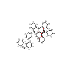 c1ccc(-c2cccc(-c3ccccc3N(c3cccc(-c4cccc5oc6ccccc6c45)c3)c3cccc(-n4c5ccccc5c5ccccc54)c3)c2)cc1